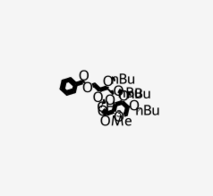 CCCCOC[C@H](OCCCC)C(COC(=O)c1ccccc1)O[C@@H](C)OC1C(C(=O)OC)OC[C@@H](OCCCC)C1OCCCC